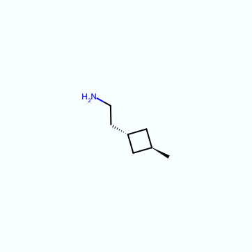 C[C@H]1C[C@H](CCN)C1